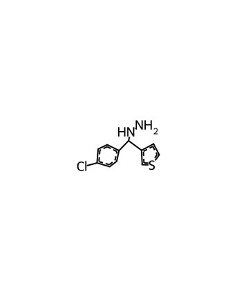 NNC(c1ccc(Cl)cc1)c1ccsc1